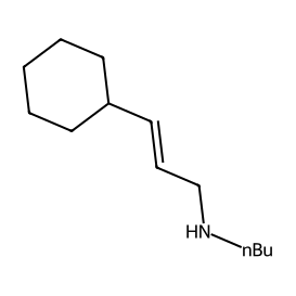 CCCCNC/C=C/C1CCCCC1